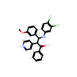 COc1cccc(C(Nc2ccc(Cl)c(Cl)c2)C(C(=O)c2ccccc2)c2ccncc2)c1